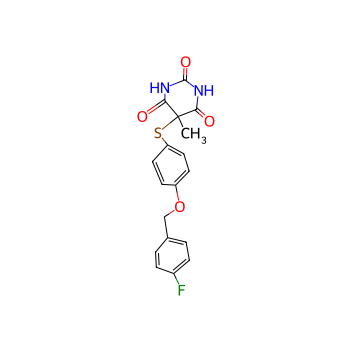 CC1(Sc2ccc(OCc3ccc(F)cc3)cc2)C(=O)NC(=O)NC1=O